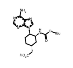 CC(C)(C)OC(=O)N[C@H]1C[C@H](CC(=O)O)CC[C@H]1n1cnc2c(N)ncnc21